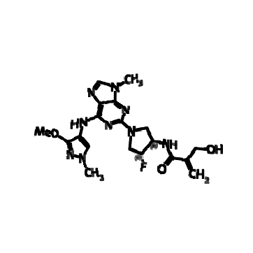 C=C(CO)C(=O)N[C@@H]1CN(c2nc(Nc3cn(C)nc3OC)c3ncn(C)c3n2)C[C@H]1F